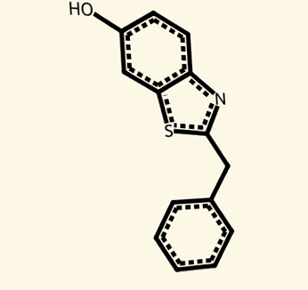 Oc1ccc2nc(Cc3ccccc3)sc2c1